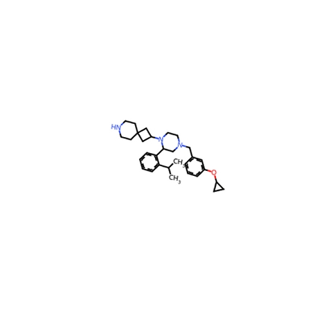 CC(C)c1ccccc1C1CN(Cc2cccc(OC3CC3)c2)CCN1C1CC2(CCNCC2)C1